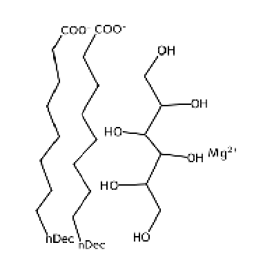 CCCCCCCCCCCCCCCCCC(=O)[O-].CCCCCCCCCCCCCCCCCC(=O)[O-].OCC(O)C(O)C(O)C(O)CO.[Mg+2]